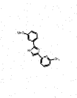 COc1cccc(-c2nc(-c3cccc(C)n3)n[nH]2)c1